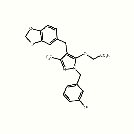 O=C(O)COc1c(Cc2ccc3c(c2)OCO3)c(C(F)(F)F)nn1Cc1cccc(O)c1